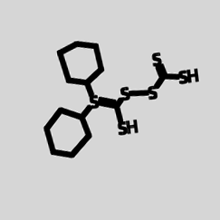 S=C(S)SSC(S)=S(C1CCCCC1)C1CCCCC1